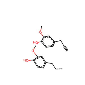 C#CCc1ccc(O)c(OC)c1.CCCc1ccc(O)c(OC)c1